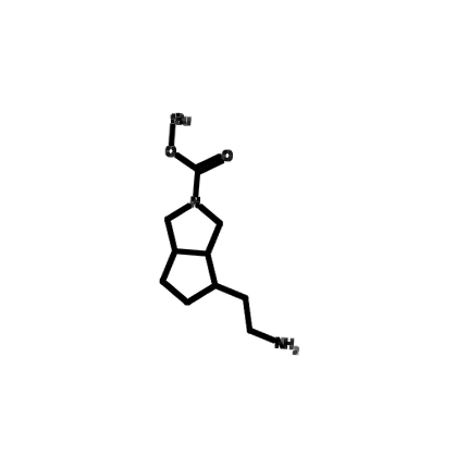 CC(C)(C)OC(=O)N1CC2CCC(CCN)C2C1